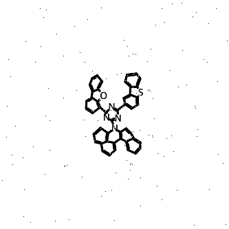 c1ccc2c3c(ccc2c1)N(c1nc(-c2ccc4sc5ccccc5c4c2)nc(-c2cccc4c2oc2ccccc24)n1)c1cccc2cccc-3c12